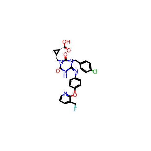 O=C(O)[C@H]1C[C@H]1Cn1c(=O)[nH]/c(=N\c2ccc(Oc3ncccc3CF)cc2)n(Cc2ccc(Cl)cc2)c1=O